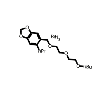 CCCCOCCOCCOCc1cc2c(cc1CCC)OCO2.[BiH3]